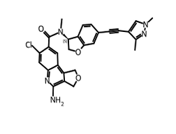 Cc1nn(C)cc1C#Cc1ccc2c(c1)OC[C@H]2N(C)C(=O)c1cc2c3c(c(N)nc2cc1Cl)COC3